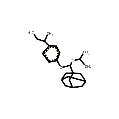 CCC(C)c1ccc(OC(OC(C)C)C23CC4CC(CC(C4)C2)C3)cc1